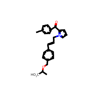 Cc1ccc(C(=O)c2cccn2C/C=C/c2ccc(COC(C)C(=O)O)cc2)cc1